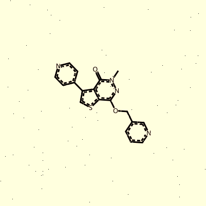 Cn1nc(OCc2cccnc2)c2scc(-c3ccncc3)c2c1=O